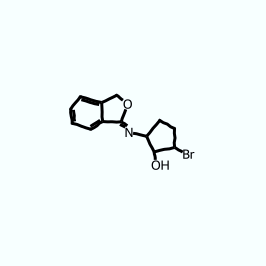 OC1C(Br)CCC1/N=C1\OCc2ccccc21